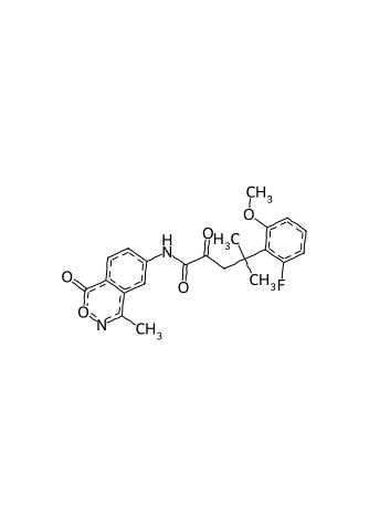 COc1cccc(F)c1C(C)(C)CC(=O)C(=O)Nc1ccc2c(=O)onc(C)c2c1